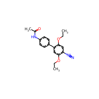 CCOc1cc(-c2ccc(NC(C)=O)cc2)c(OCC)cc1[N+]#N